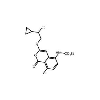 CCOC(=O)Nc1ccc(C)c2c(=O)oc(OCC(CC)C3CC3)nc12